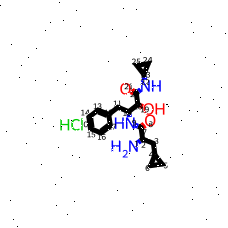 Cl.NC(CC1CC1)C(=O)NC(Cc1ccccc1)C(O)C(=O)NC1CC1